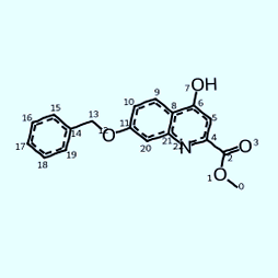 COC(=O)c1cc(O)c2ccc(OCc3ccccc3)cc2n1